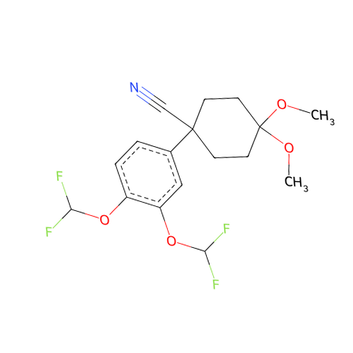 COC1(OC)CCC(C#N)(c2ccc(OC(F)F)c(OC(F)F)c2)CC1